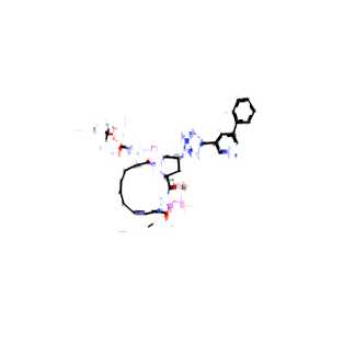 CC[C@]1(C(=O)O)/C=C\CCCC[C@H](NC(=O)OC(C)(C)C)C(=O)N2C[C@H](n3nnc(-c4cncc(-c5ccccc5)c4)n3)C[C@H]2C(=O)N1